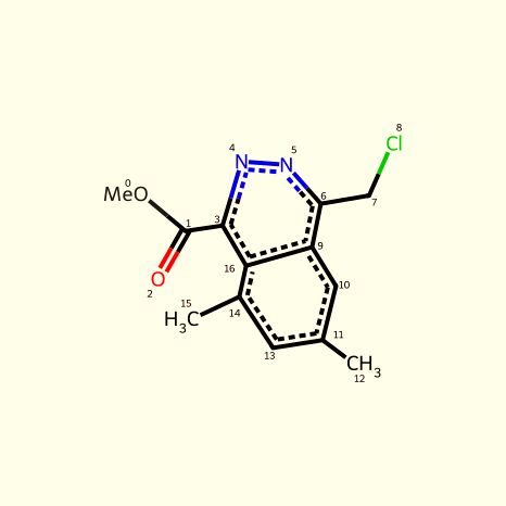 COC(=O)c1nnc(CCl)c2cc(C)cc(C)c12